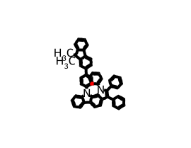 CC1(C)c2ccccc2-c2ccc(-c3ccc(-n4c5ccccc5c5ccc6c(-c7ccccc7)c(-c7ccccc7)n(-c7ccccc7)c6c54)cc3)cc21